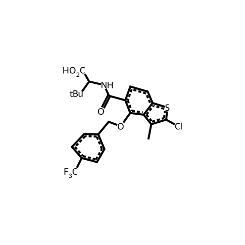 Cc1c(Cl)sc2ccc(C(=O)NC(C(=O)O)C(C)(C)C)c(OCc3ccc(C(F)(F)F)cc3)c12